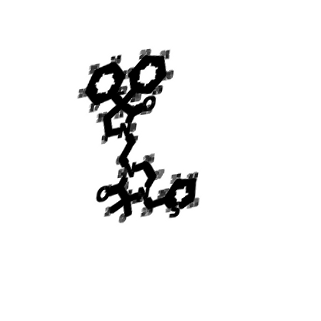 CC1(C)C(=O)N(CCN2CCC(c3ccccc3)(c3ccccc3)C2=O)CCN1Cc1cccs1